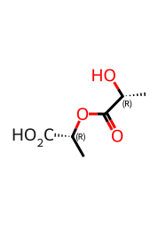 C[C@@H](O)C(=O)O[C@H](C)C(=O)O